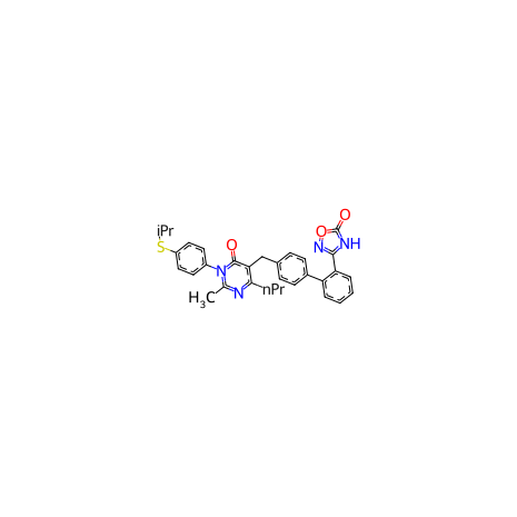 CCCc1nc(C)n(-c2ccc(SC(C)C)cc2)c(=O)c1Cc1ccc(-c2ccccc2-c2noc(=O)[nH]2)cc1